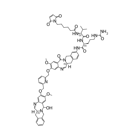 COc1cc2c(cc1OCc1cccc(COc3cc4c(cc3OC)C(O)N3Cc5ccccc5C[C@H]3C=N4)n1)N=C[C@@H]1Cc3ccc(NC(=O)[C@H](CCCNC(N)=O)NC(=O)[C@@H](NC(=O)CCCCCN4C(=O)C=CC4=O)C(C)C)cc3CN1C2=O